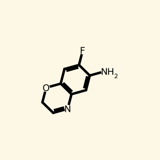 Nc1cc2c(cc1F)OCC=N2